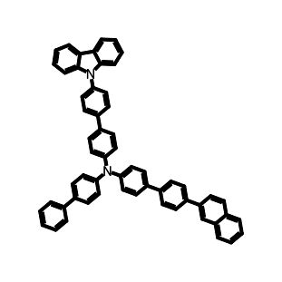 c1ccc(-c2ccc(N(c3ccc(-c4ccc(-c5ccc6ccccc6c5)cc4)cc3)c3ccc(-c4ccc(-n5c6ccccc6c6ccccc65)cc4)cc3)cc2)cc1